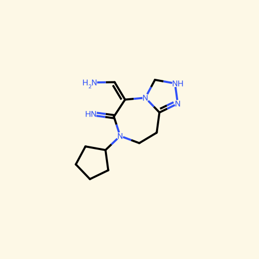 N=C1/C(=C\N)N2CNN=C2CCN1C1CCCC1